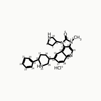 Cl.Cn1c(=O)n(C2CCNC2)c2c3cc(C4CCC(c5ccccc5)NC4)ccc3ncc21